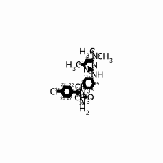 Cc1cc(N(C)C)nc(NC2CCC(N(C(N)=O)C(C)(C)c3ccc(Cl)cc3)CC2)n1